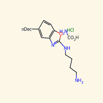 CCCCCCCCCCc1ccc2oc(NCCCCN)nc2c1.Cl.NC(=O)O